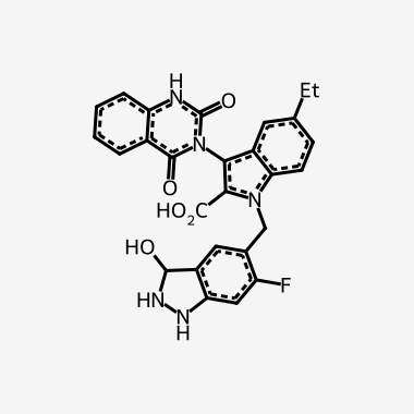 CCc1ccc2c(c1)c(-n1c(=O)[nH]c3ccccc3c1=O)c(C(=O)O)n2Cc1cc2c(cc1F)NNC2O